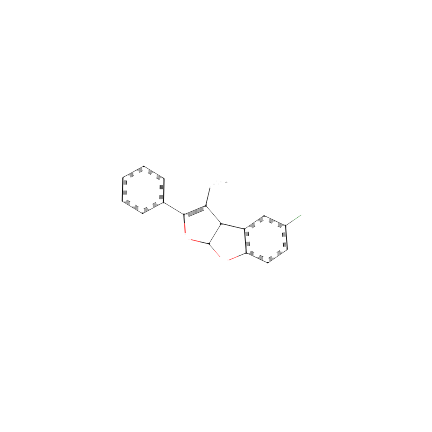 CSC1=C(c2ccccc2)OC2Oc3ccc(Cl)cc3C12